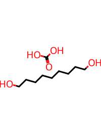 O=C(O)O.OCCCCCCCCCO